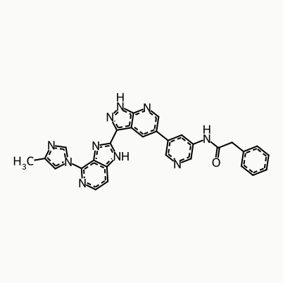 Cc1cn(-c2nccc3[nH]c(-c4n[nH]c5ncc(-c6cncc(NC(=O)Cc7ccccc7)c6)cc45)nc23)cn1